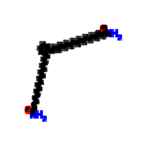 NC(=O)CCCCCCCCCCCCCCCCCc1ccccc1CCCCCCCCCCCCCCCCCC(N)=O